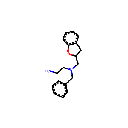 NCCN(Cc1ccccc1)CC1Cc2ccccc2O1